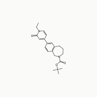 CCn1ccc(-c2ccc3c(c2)CCCN(C(=O)OC(C)(C)C)C3)cc1=O